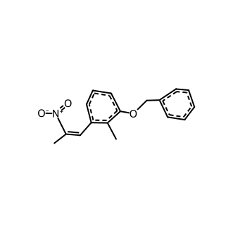 CC(=Cc1cccc(OCc2ccccc2)c1C)[N+](=O)[O-]